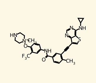 Cc1ccc(C(=O)Nc2ccc(O[N+]3(C)CCNCC3)c(C(F)(F)F)c2)cc1C#Cc1csc2c(NC3CC3)ncnc12